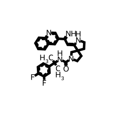 CC(C)(NC(=O)N1CCC2(CCN/C2=C\C(=N)c2cnc3ccccc3c2)C1)c1ccc(F)c(F)c1